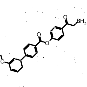 BCC(=O)c1ccc(OC(=O)c2ccc(C3C=C(OC)C=CC3)cc2)cc1